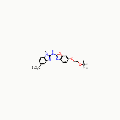 CCOC(=O)c1ccc2c(c1)nc(Nc1nc3ccc(OCCO[Si](C)(C)C(C)(C)C)cc3o1)n2C